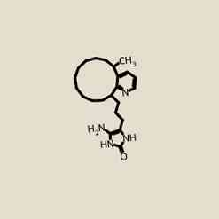 CC1CCCCCCCCCC(CCCc2[nH]c(=O)[nH]c2N)c2ncccc21